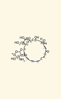 C[C@@H]1C\C=C/C=C\C=C/C=C\[C@H](OC2O[C@H](C)[C@@H](O)[C@H](N)[C@@H]2O)C[C@@H]2O[C@](O)(C[C@@H](O)C[C@H]3O[C@@H]3/C=C\C(=O)O1)C[C@H](O)[C@H]2C(=O)O